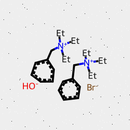 CC[N+](CC)(CC)Cc1ccccc1.CC[N+](CC)(CC)Cc1ccccc1.[Br-].[OH-]